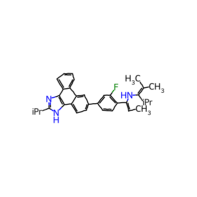 C/C=C(\NC(=C(C)C)C(C)C)c1ccc(-c2ccc3c(c2)c2ccccc2c2nc(C(C)C)[nH]c32)cc1F